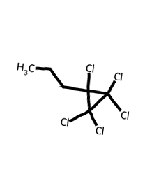 CC[CH]C1(Cl)C(Cl)(Cl)C1(Cl)Cl